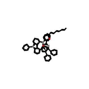 CC=CC=CC=Cc1ccc(N(c2ccc(-c3ccccc3)cc2)c2cccc3c2c2c(-c4nc(-c5ccccc5)nc(-c5ccccc5)n4)cccc2n3-c2ccccc2)cc1